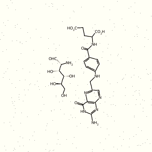 N[C@@H](C=O)[C@@H](O)[C@H](O)[C@H](O)CO.Nc1nc2ncc(CNc3ccc(C(=O)NC(CCC(=O)O)C(=O)O)cc3)nc2c(=O)[nH]1